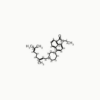 CCN1C(=O)c2cccc3c(N4CCCN(C/C=C(\C)CCC=C(C)C)CC4)ccc1c23